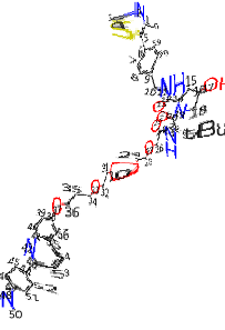 Cc1ncsc1-c1ccc(CNC(=O)C2CC(O)CN2C(=O)[C@@H](NC(=O)COCCOCCOCCCOc2ccc3nc(-c4ccc(N(C)C)cc4)ccc3c2)C(C)(C)C)cc1